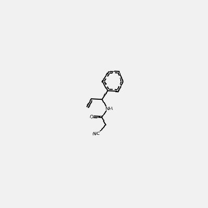 C=CC(NC(=O)CC#N)c1ccccc1